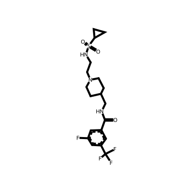 O=C(NCC1CCN(CCNS(=O)(=O)C2CC2)CC1)c1cc(F)cc(C(F)(F)F)c1